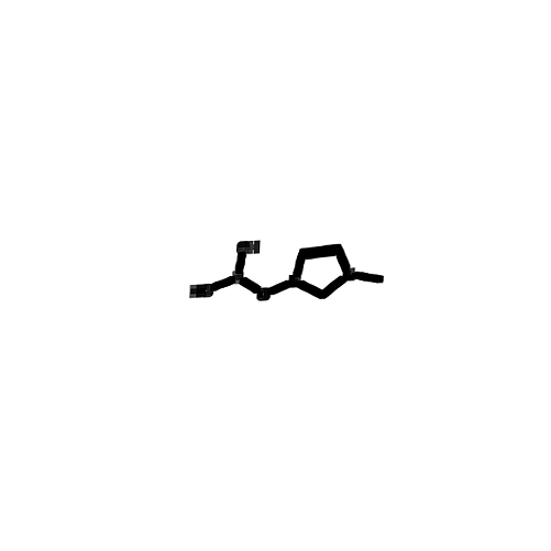 CN1C=CN(OP(O)O)C1